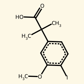 COc1cc(C(C)(C)C(=O)O)ccc1I